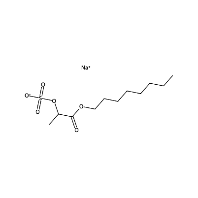 CCCCCCCCOC(=O)C(C)OS(=O)(=O)[O-].[Na+]